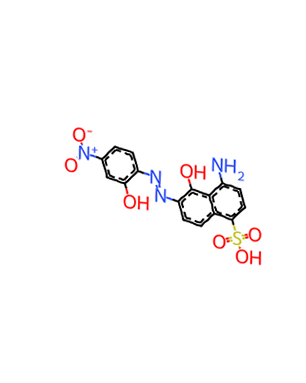 Nc1ccc(S(=O)(=O)O)c2ccc(N=Nc3ccc([N+](=O)[O-])cc3O)c(O)c12